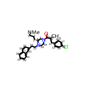 CNCCC[C@@H]1CN(C(=O)[C@H](C)Cc2ccc(Cl)cc2)CCN1CCc1ccc2ccccc2c1